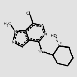 Cn1ncc2c(NC3CCCC[C@H]3O)nnc(Cl)c21